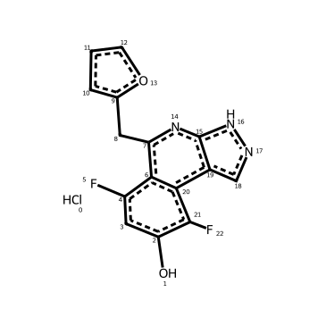 Cl.Oc1cc(F)c2c(Cc3ccco3)nc3[nH]ncc3c2c1F